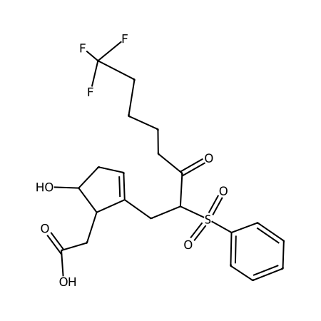 O=C(O)CC1C(CC(C(=O)CCCCC(F)(F)F)S(=O)(=O)c2ccccc2)=CCC1O